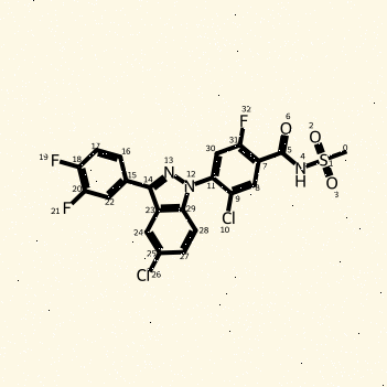 CS(=O)(=O)NC(=O)c1cc(Cl)c(-n2nc(-c3ccc(F)c(F)c3)c3cc(Cl)ccc32)cc1F